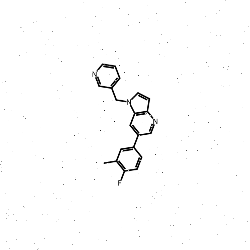 Cc1cc(-c2cnc3ccn(Cc4cccnc4)c3c2)ccc1F